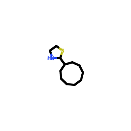 C1CCCCC(C2NCCS2)CCC1